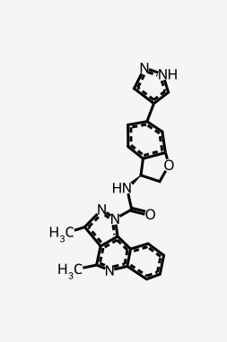 Cc1nc2ccccc2c2c1c(C)nn2C(=O)N[C@@H]1COc2cc(-c3cn[nH]c3)ccc21